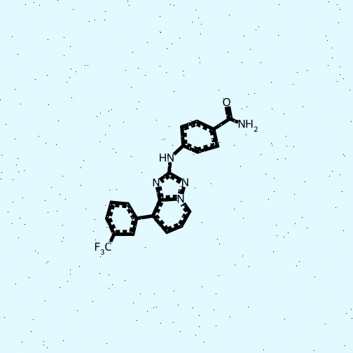 NC(=O)c1ccc(Nc2nc3c(-c4cccc(C(F)(F)F)c4)cccn3n2)cc1